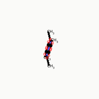 CCCCCCCCOCC(CC)N1C(=O)c2ccc3c4c(ccc(c24)C1=O)C(=O)N(N1C(=O)c2ccc4c5c(ccc(c25)C1=O)C(=O)N(C(CC)COCCCCCCCC)C4=O)C3=O